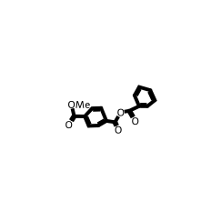 COC(=O)c1ccc(C(=O)OC(=O)c2ccccc2)cc1